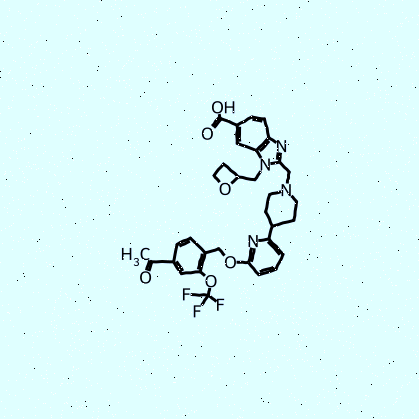 CC(=O)c1ccc(COc2cccc(C3CCN(Cc4nc5ccc(C(=O)O)cc5n4CC4CCO4)CC3)n2)c(OC(F)(F)F)c1